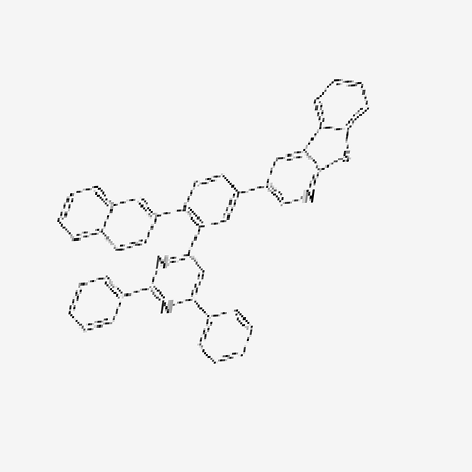 c1ccc(-c2cc(-c3cc(-c4cnc5sc6ccccc6c5c4)ccc3-c3ccc4ccccc4c3)nc(-c3ccccc3)n2)cc1